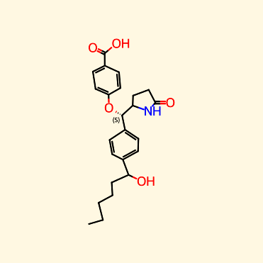 CCCCCC(O)c1ccc([C@H](Oc2ccc(C(=O)O)cc2)C2CCC(=O)N2)cc1